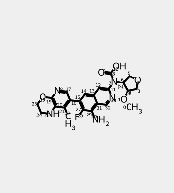 CO[C@@H]1COC[C@@H]1N(C(=O)O)c1cc2cc(-c3cnc4c(c3C)NCCO4)c(F)c(N)c2cn1